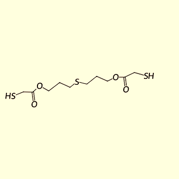 O=C(CS)OCCCSCCCOC(=O)CS